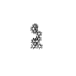 c1ccc(P(c2ccccc2)c2cc3ccc(-c4cccc(-c5ccc6ccc7cccnc7c6n5)c4)nc3c3ncccc23)cc1